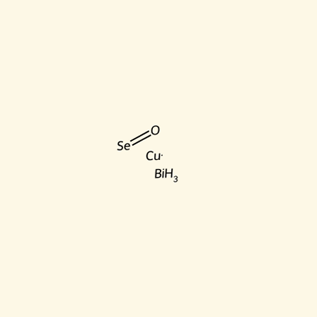 O=[Se].[BiH3].[Cu]